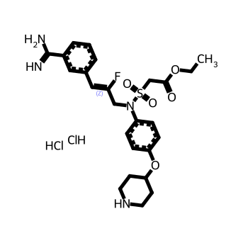 CCOC(=O)CS(=O)(=O)N(C/C(F)=C/c1cccc(C(=N)N)c1)c1ccc(OC2CCNCC2)cc1.Cl.Cl